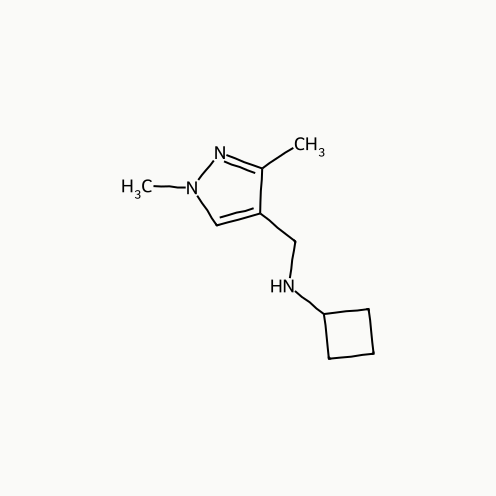 Cc1nn(C)cc1CNC1CCC1